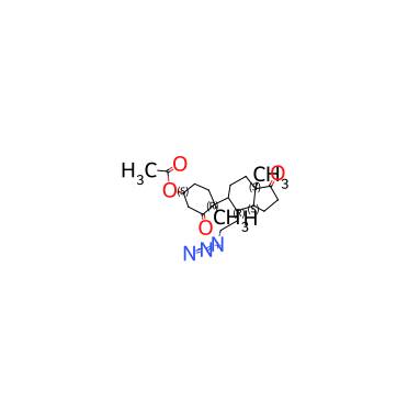 CC(=O)O[C@H]1CC[C@](C)(C2CC[C@]3(C)C(=O)CC[C@H]3[C@@H]2CCN=[N+]=[N-])C(=O)C1